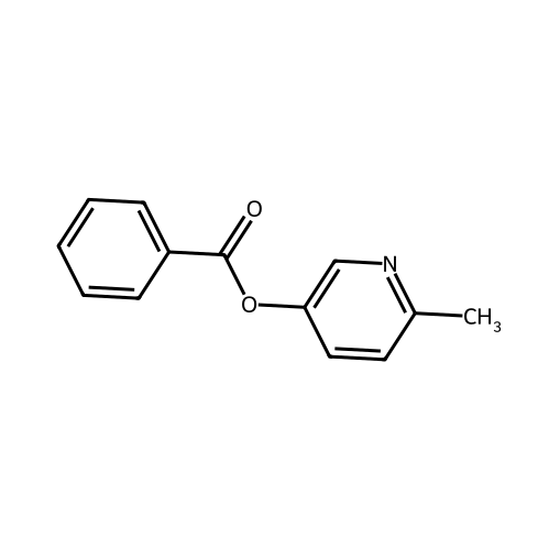 Cc1ccc(OC(=O)c2ccccc2)cn1